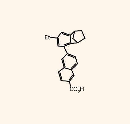 CCc1cc(-c2ccc3cc(C(=O)O)ccc3c2)c2c(c1)C1CCC2C1